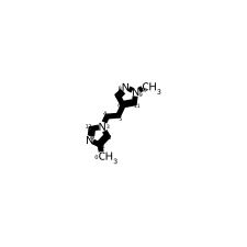 Cc1cn(CCc2cnn(C)c2)cn1